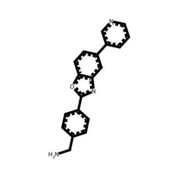 NCc1ccc(-c2nc3cc(-c4cccnc4)ccc3o2)cc1